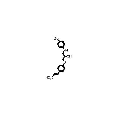 CC(C)(C)c1ccc(NCC(O)COc2ccc(C=CC(=O)O)cc2)cc1